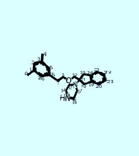 Cc1cc(C)cc(CCOCC2(N3CCNCC3)Cc3ccccc3C2)c1